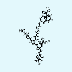 CCN(CCOCCOCCN(CCOCCO)Cc1cc(CCC(=O)OC(C)(C)C)cc(C(=O)OC)n1)Cc1cccc(C(=O)OC)n1